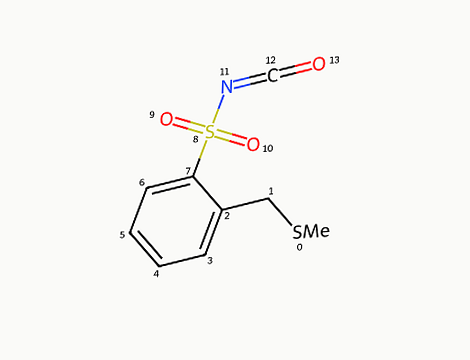 CSCc1ccccc1S(=O)(=O)N=C=O